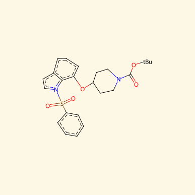 CC(C)(C)OC(=O)N1CCC(Oc2cccc3ccn(S(=O)(=O)c4ccccc4)c23)CC1